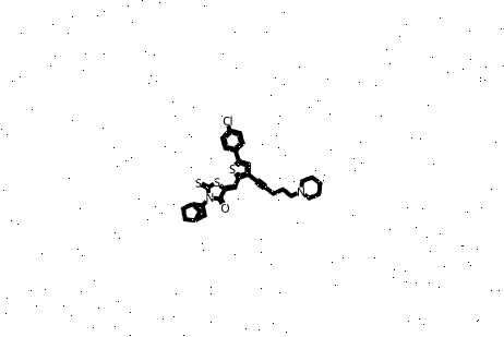 O=C1/C(=C/c2sc(-c3ccc(Cl)cc3)cc2C#CCCCN2CCCCC2)SC(=S)N1C1CC2CCC1C2